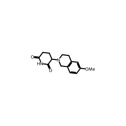 COc1ccc2c(c1)CCN(C1CCC(=O)NC1=O)C2